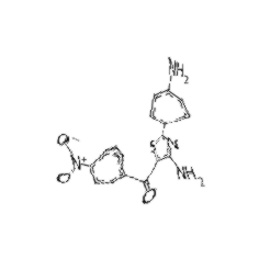 Nc1ccc(-c2nc(N)c(C(=O)c3ccc([N+](=O)[O-])cc3)s2)cc1